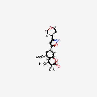 COc1cc(-c2cc(C3CCOCC3)no2)cc2oc(=O)c(C)c(C)c12